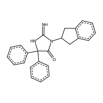 N=C1NC(c2ccccc2)(c2ccccc2)C(=O)N1C1Cc2ccccc2C1